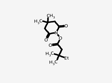 CCC(C)(C)CC(=O)ON1C(=O)CC(C)(C)CC1=O